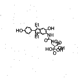 CCc1c(-c2ccc(O)cc2)n(CC)c2cc(NC(=O)CCC(P(=O)(O)O)P(=O)(O)O)c(O)cc12